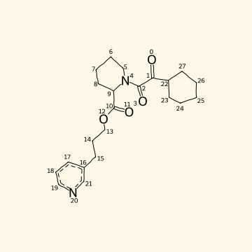 O=C(C(=O)N1CCCCC1C(=O)OCCCc1cccnc1)C1CCCCC1